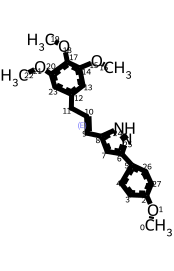 COc1ccc(-c2cc(/C=C/Cc3cc(OC)c(OC)c(OC)c3)[nH]n2)cc1